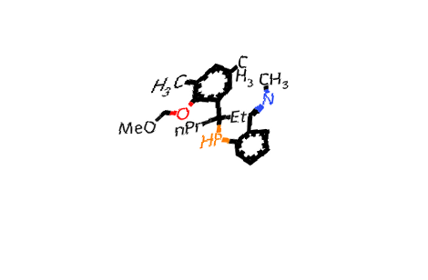 CCCC(CC)(Pc1ccccc1/C=N/C)c1cc(C)cc(C)c1OCOC